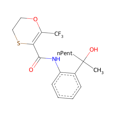 CCCCCC(C)(O)c1ccccc1NC(=O)C1=C(C(F)(F)F)OCCS1